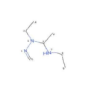 C=NN(CC)C(C)NCC